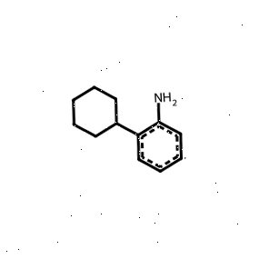 Nc1c[c]ccc1C1CCCCC1